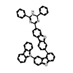 c1ccc(C2=NC(c3ccc4c(c3)oc3cc(-c5cccc6oc7ccc(-n8c9ccccc9c9ccccc98)cc7c56)ccc34)=NC(c3ccccc3)N2)cc1